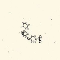 O=[N+]([O-])c1ccc(Sc2nnc(-c3ccccc3)s2)cc1